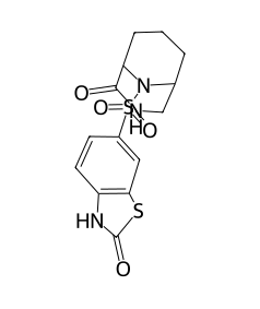 O=C1NCC2CCCC1N2S(=O)(=O)c1ccc2[nH]c(=O)sc2c1